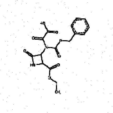 CCOC(=O)C1NC(=O)C1N(C(=O)OCc1ccccc1)C(=O)C(=O)O